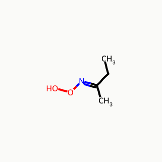 CCC(C)=NOO